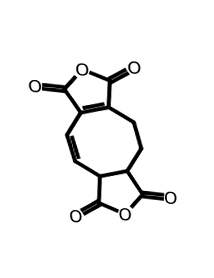 O=C1OC(=O)C2=C1/C=C\C1C(=O)OC(=O)C1CC2